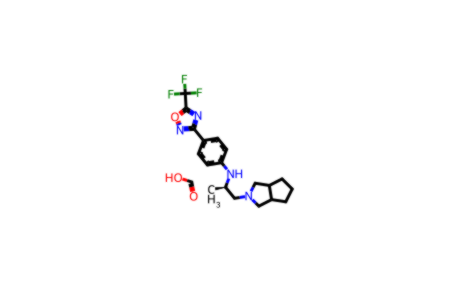 C[C@H](CN1CC2CCCC2C1)Nc1ccc(-c2noc(C(F)(F)F)n2)cc1.O=CO